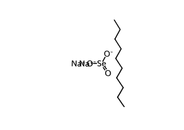 CCCCCCCCCC.O=[Se]([O-])[O-].[Na+].[Na+]